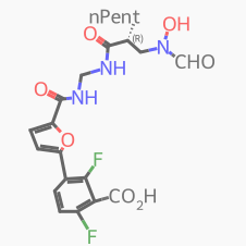 CCCCC[C@H](CN(O)C=O)C(=O)NCNC(=O)c1ccc(-c2ccc(F)c(C(=O)O)c2F)o1